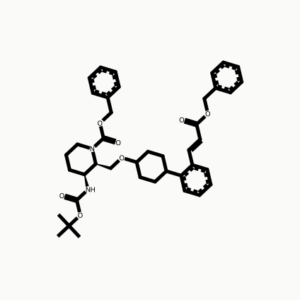 CC(C)(C)OC(=O)N[C@H]1CCCN(C(=O)OCc2ccccc2)[C@H]1COC1CCC(c2ccccc2/C=C/C(=O)OCc2ccccc2)CC1